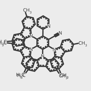 Cc1ccc2c(c1)c1cc(C)ccc1n2-c1c(C#N)c(-c2ccccn2)c(-n2c3ccc(C)cc3c3cc(C)ccc32)c(-n2c3ccc(C)cc3c3cc(C)ccc32)c1-n1c2ccc(C)cc2c2cc(C)ccc21